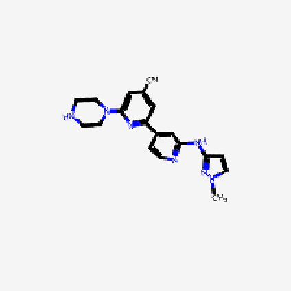 Cn1ccc(Nc2cc(-c3cc(C#N)cc(N4CCNCC4)n3)ccn2)n1